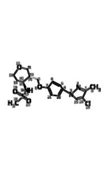 Cc1nn(-c2ccc(OC[C@H]3COCC[C@@H]3NS(C)(=O)=O)cc2)cc1Cl